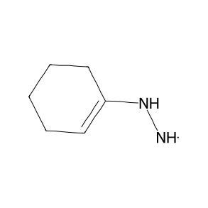 [NH]NC1=CCCCC1